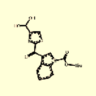 CC(C)(C)OC(=O)n1cc(C(=O)c2nc(C(O)O)cs2)c2ccccc21